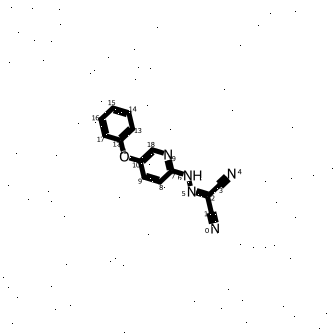 N#CC(C#N)=NNc1ccc(Oc2ccccc2)cn1